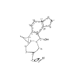 O=C(O)C1CCCC(C(O)c2c(C3CC3)ccn3cncc23)C1